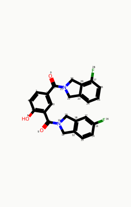 O=C(c1ccc(O)c(C(=O)N2Cc3ccc(F)cc3C2)c1)N1Cc2cccc(F)c2C1